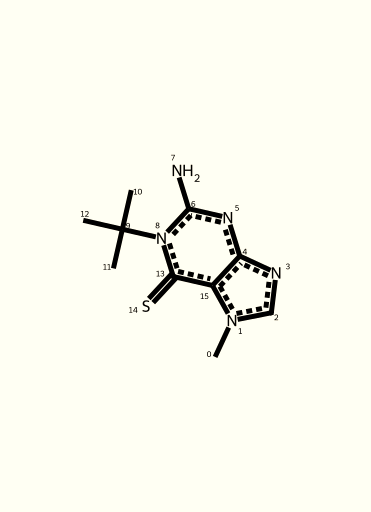 Cn1cnc2nc(N)n(C(C)(C)C)c(=S)c21